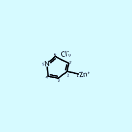 [Cl-].[Zn+][c]1ccncc1